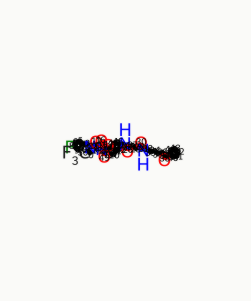 C[C@H](N(Cc1ccc(F)cc1)C(=O)CN1C(=O)O[C@@]2(CCc3cc(NC(=O)CCC(=O)NCCCCCC(=O)c4ccccc4)ccc32)C1=O)C(F)(F)F